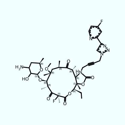 CC[C@H]1OC(=O)[C@@](C)(F)C(=O)[C@H](C)[C@@H](O[C@@H]2O[C@H](C)CC(N)C2O)[C@](C)(OC)C[C@@H](C)C(=O)[C@H](C)[C@H]2N(CC#CCn3cc(-c4cc(F)ccn4)nn3)C(=O)O[C@]12C